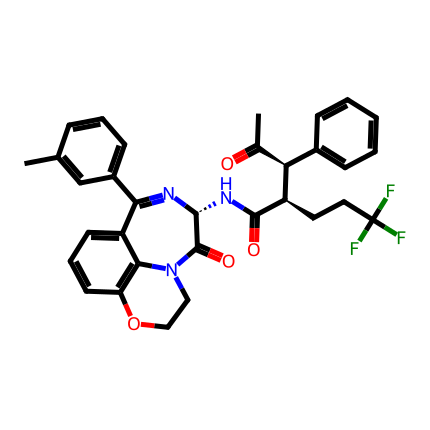 CC(=O)[C@@H](c1ccccc1)[C@@H](CCC(F)(F)F)C(=O)N[C@H]1N=C(c2cccc(C)c2)c2cccc3c2N(CCO3)C1=O